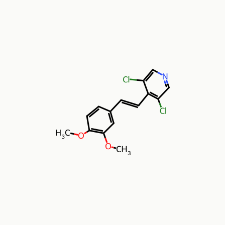 COc1ccc(C=Cc2c(Cl)cncc2Cl)cc1OC